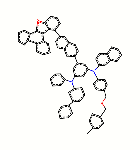 Cc1ccc(COCc2ccc(N(c3cc(-c4ccc5cc(-c6cccc7oc8c9ccccc9c9ccccc9c8c67)ccc5c4)cc(N(c4ccccc4)c4cccc(-c5ccccc5)c4)c3)c3ccc4ccccc4c3)cc2)cc1